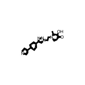 Cc1c(O)c(=O)ccn1CCn1cc(-c2ccc(-c3ccncc3)cc2)nn1